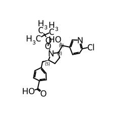 CC(C)(C)OON1[C@H](Cc2ccc(C(=O)O)cc2)CC[C@@H]1[C@H](O)c1ccc(Cl)nc1